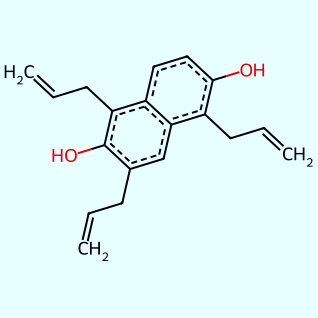 C=CCc1cc2c(CC=C)c(O)ccc2c(CC=C)c1O